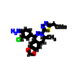 COCc1nnc(N2N=C(c3ccc(N)c(Cl)c3)c3cc4c(cc3CC2C)OCO4)s1